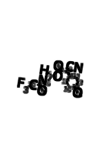 N#CC(C(=O)OCCNC(=O)C(F)(F)F)=C1CCC(=O)CC1